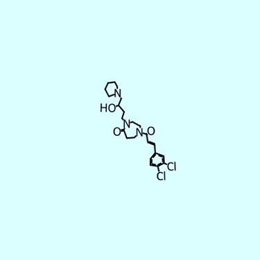 O=C(C=Cc1ccc(Cl)c(Cl)c1)N1CCC(=O)N(CCC(O)CN2CCCCC2)CC1